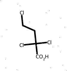 O=C(O)C(Cl)(Cl)CCCl